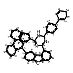 C1=CC(c2ccc(C3N=C(c4cccc5oc6ccc(-c7cc8ccccc8c8ccccc78)cc6c45)N=C(c4ccccc4)N3)cc2)=CCC1